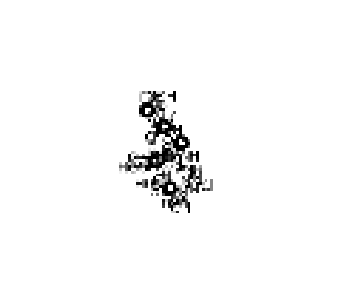 Cc1c(N=Nc2cc(Nc3nc(Cl)nc(NC(C)CNc4ccc5c(c4S(=O)(=O)O)Oc4c(Cl)c6c(c(Cl)c4=N5)Oc4c(ccc(F)c4S(=O)(=O)O)N=6)n3)c(S(=O)(=O)O)cc2S(=O)(=O)O)c(O)[nH]c(=O)c1CS(=O)(=O)O